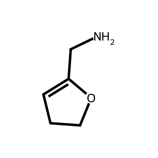 NCC1=CCCO1